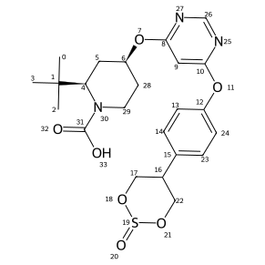 CC(C)(C)[C@H]1C[C@@H](Oc2cc(Oc3ccc(C4COS(=O)OC4)cc3)ncn2)CCN1C(=O)O